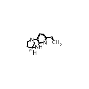 C=Cc1ccc2c(n1)N[C@H]1CCN2C1